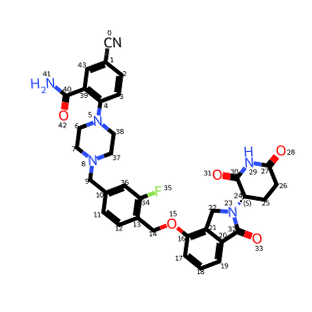 N#Cc1ccc(N2CCN(Cc3ccc(COc4cccc5c4CN([C@H]4CCC(=O)NC4=O)C5=O)c(F)c3)CC2)c(C(N)=O)c1